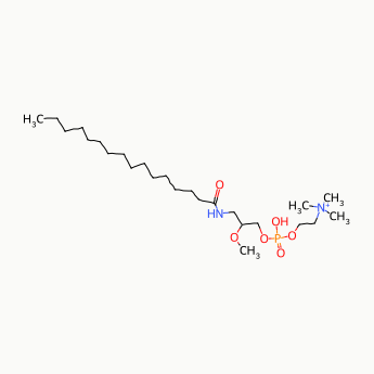 CCCCCCCCCCCCCCCC(=O)NCC(COP(=O)(O)OCC[N+](C)(C)C)OC